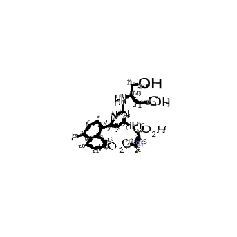 CC(C)c1cc(-c2ccc(F)c3ccccc23)nc(NC(CO)CO)n1.O=C(O)/C=C\C(=O)O